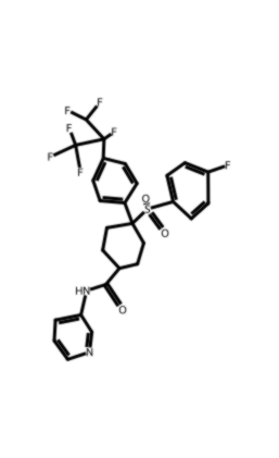 O=C(Nc1cccnc1)C1CCC(c2ccc(C(F)(C(F)F)C(F)(F)F)cc2)(S(=O)(=O)c2ccc(F)cc2)CC1